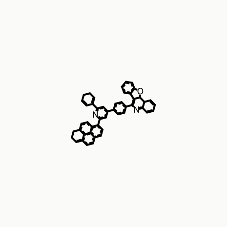 C1=CC2=NC(c3ccc(-c4cc(C5=CCCC=C5)nc(-c5ccc6ccc7c8c(ccc5c68)CCC=7)c4)cc3)=C3c4ccccc4OC3C2C=C1